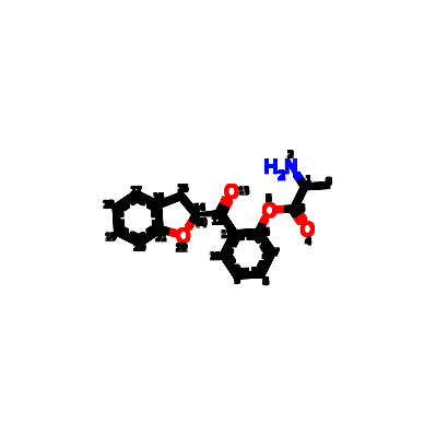 CC(N)C(=O)Oc1ccccc1C(=O)[C@@H]1Cc2ccccc2O1